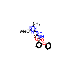 COc1nc(C)nc(NC(=S)NS(=O)(=O)c2ccccc2Oc2ccccc2)n1